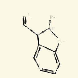 C=CC1c2ccccc2N[C@@H]1C(C)C